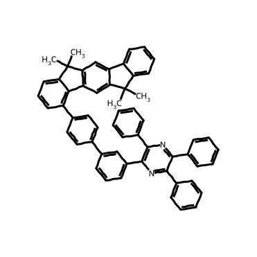 CC1(C)c2ccccc2-c2cc3c(cc21)-c1c(-c2ccc(-c4cccc(-c5nc(-c6ccccc6)c(-c6ccccc6)nc5-c5ccccc5)c4)cc2)cccc1C3(C)C